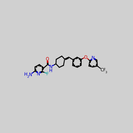 Nc1ccc(C(=O)NC2CCC(=Cc3cccc(Oc4ccc(C(F)(F)F)cn4)c3)CC2)c(F)n1